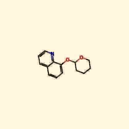 c1cnc2c(OC3CCCCO3)cccc2c1